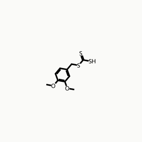 COc1ccc(CSC(=S)S)cc1OC